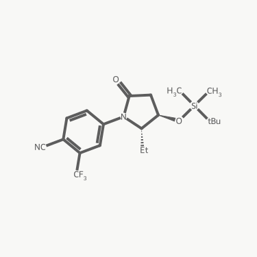 CC[C@H]1[C@H](O[Si](C)(C)C(C)(C)C)CC(=O)N1c1ccc(C#N)c(C(F)(F)F)c1